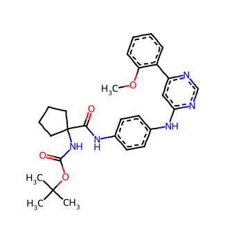 COc1ccccc1-c1cc(Nc2ccc(NC(=O)C3(NC(=O)OC(C)(C)C)CCCC3)cc2)ncn1